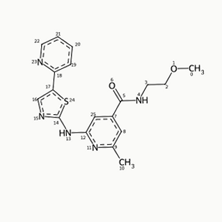 COCCNC(=O)c1cc(C)nc(Nc2ncc(-c3ccccn3)s2)c1